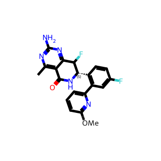 COc1cccc(-c2cc(F)ccc2[C@@H]2NC(=O)c3c(C)nc(N)nc3C2F)n1